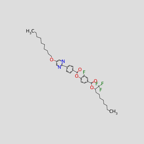 CCCCCCCCCCOc1cnc(-c2ccc(C(=O)Oc3ccc(C(=O)OC(CCCCCCCC)C(F)(F)F)cc3F)cc2)nc1